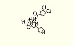 Cn1c(NCC(=O)c2ccc(Cl)c(Cl)c2)nc(-c2ccncc2)cc1=O